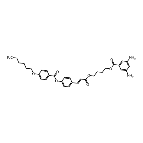 Nc1cc(N)cc(C(=O)OCCCCOC(=O)C=Cc2ccc(OC(=O)c3ccc(OCCCCCC(F)(F)F)cc3)cc2)c1